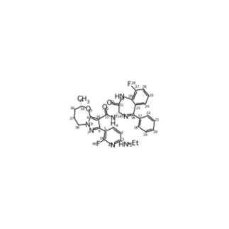 CCNc1ccc(-c2nn3c(c2C(=O)N[C@H]2N=C(c4ccccc4)c4cccc(F)c4NC2=O)O[C@@H](C)CCC3)c(F)n1